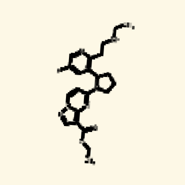 CCNCCc1ncc(F)cc1C1CCCN1c1ccn2ncc(C(=O)OCC)c2n1